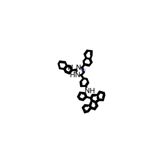 N/C(=C\C(NCc1ccc2c(c1)C=CCC2)C1C=CC(Nc2ccccc2-c2cc3ccccc3c3ccc4ccccc4c23)=CC1)C1=CC=C2C=CC=CC2C1